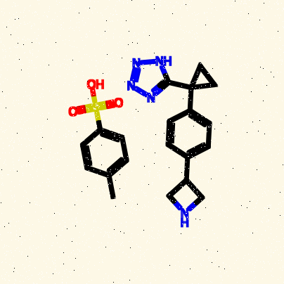 Cc1ccc(S(=O)(=O)O)cc1.c1cc(C2(c3nnn[nH]3)CC2)ccc1C1CNC1